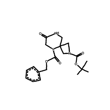 CC(C)(C)OC(=O)N1CC2(CNC(=O)CN2C(=O)OCc2ccccc2)C1